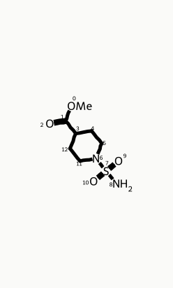 COC(=O)C1CCN(S(N)(=O)=O)CC1